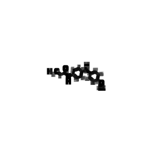 C=CC(=O)Nc1ccc(Nc2ccc(OCC)cc2)cc1